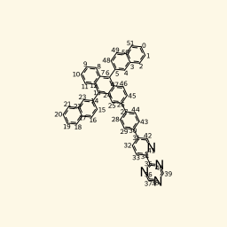 c1ccc2cc(-c3c4ccccc4c(-c4ccc5ccccc5c4)c4cc(-c5ccc(-c6ccc(-c7ncncn7)nc6)cc5)ccc34)ccc2c1